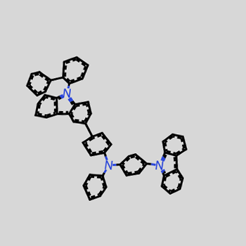 c1ccc(-c2ccccc2-n2c3ccccc3c3cc(-c4ccc(N(c5ccccc5)c5ccc(-n6c7ccccc7c7ccccc76)cc5)cc4)ccc32)cc1